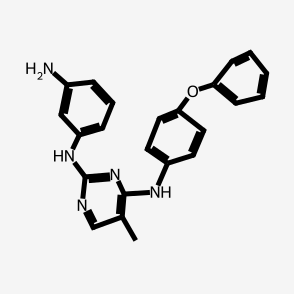 Cc1cnc(Nc2cccc(N)c2)nc1Nc1ccc(Oc2ccccc2)cc1